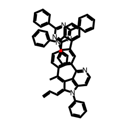 C=C/C=c1\c(=C(/C)c2ccc(-c3nc(-c4ccccc4)nc(-c4ccccc4)n3)cc2)c2c(-c3ccc4c(c3)c3ccccc3n4-c3ccccc3)nccc2n1-c1ccccc1